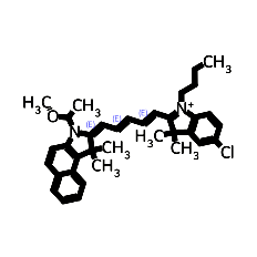 CCCC[N+]1=C(/C=C/C=C/C=C2/N(C(C)OC)c3ccc4ccccc4c3C2(C)C)C(C)(C)c2cc(Cl)ccc21